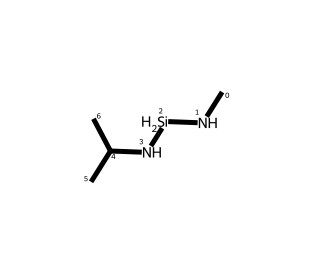 CN[SiH2]NC(C)C